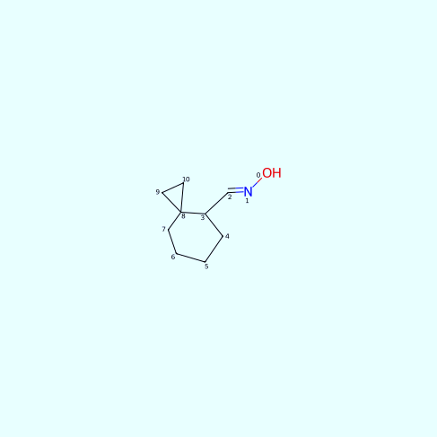 ON=CC1CCCCC12CC2